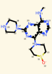 CNc1ncnc2c(N3CC[S+]([O-])CC3)nc(N3CCNCC3)nc12